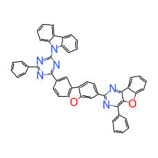 c1ccc(-c2nc(-c3ccc4oc5cc(-c6nc(-c7ccccc7)c7oc8ccccc8c7n6)ccc5c4c3)nc(-n3c4ccccc4c4ccccc43)n2)cc1